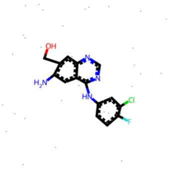 Nc1cc2c(Nc3ccc(F)c(Cl)c3)ncnc2cc1CO